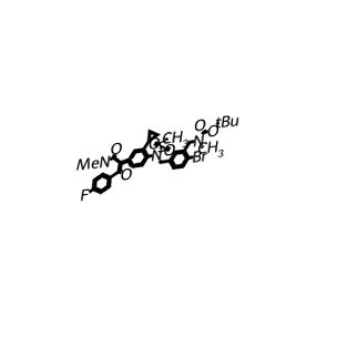 CNC(=O)c1c(-c2ccc(F)cc2)oc2cc(N(Cc3ccc(Br)c(CN(C)C(=O)OC(C)(C)C)c3)S(C)(=O)=O)c(C3CC3)cc12